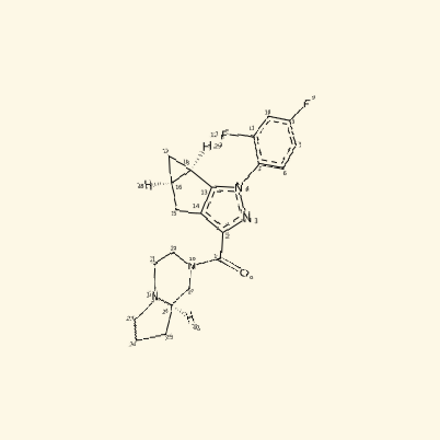 O=C(c1nn(-c2ccc(F)cc2F)c2c1C[C@H]1C[C@@H]21)N1CCN2CCC[C@@H]2C1